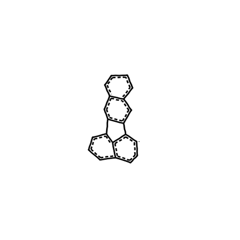 [c]1ccc2cccc3c2c1-c1cc2ccccc2cc1-3